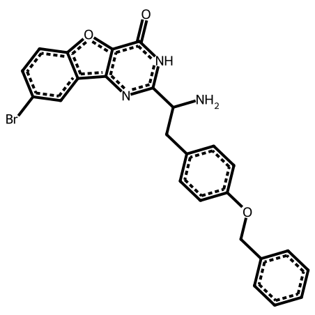 NC(Cc1ccc(OCc2ccccc2)cc1)c1nc2c(oc3ccc(Br)cc32)c(=O)[nH]1